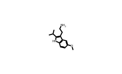 COc1ccc2[nH]c(C(C)C)c(CCN)c2c1